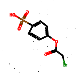 O=C(CBr)Oc1ccc(S(=O)(=O)O)cc1